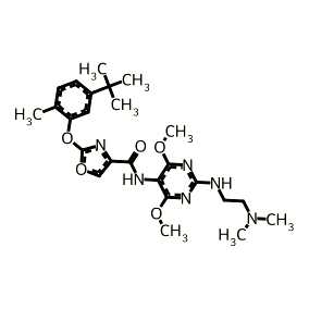 COc1nc(NCCN(C)C)nc(OC)c1NC(=O)c1coc(Oc2cc(C(C)(C)C)ccc2C)n1